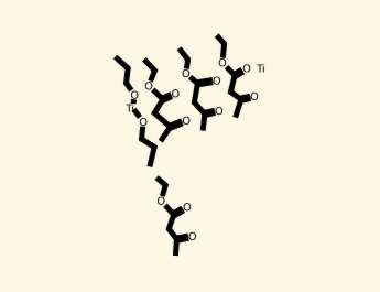 CCC[O][Ti][O]CCC.CCOC(=O)CC(C)=O.CCOC(=O)CC(C)=O.CCOC(=O)CC(C)=O.CCOC(=O)CC(C)=O.[Ti]